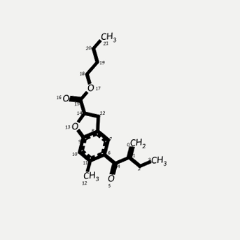 C=C(CC)C(=O)c1cc2c(cc1C)OC(C(=O)OCCCC)C2